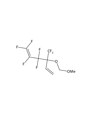 C=CC(OCOC)(C(F)(F)F)C(F)(F)C(F)=C(F)F